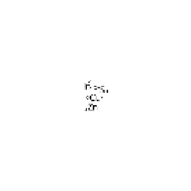 [Cu].[S]=[In].[Zn]